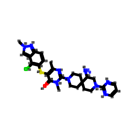 Cc1nc(N2CCC3(CCN(c4ncccn4)CC3N)CC2)n(C)c(=O)c1Sc1ccc2nn(C)cc2c1Cl